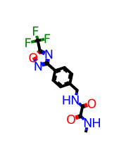 CNC(=O)C(=O)NCc1ccc(-c2noc(C(F)(F)F)n2)cc1